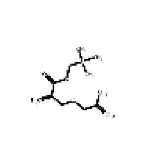 C=C(C)COCC(=C)C(=O)OC[Si](C)(C)C